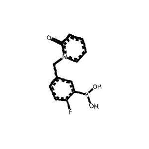 O=c1ccccn1Cc1ccc(F)c(B(O)O)c1